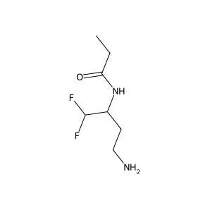 CCC(=O)NC(CCN)C(F)F